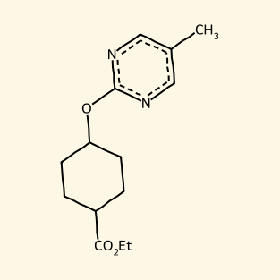 CCOC(=O)C1CCC(Oc2ncc(C)cn2)CC1